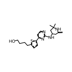 C=C1CC(Nc2nccc(-c3ccc(CCCCO)s3)n2)CC(C)(C)N1